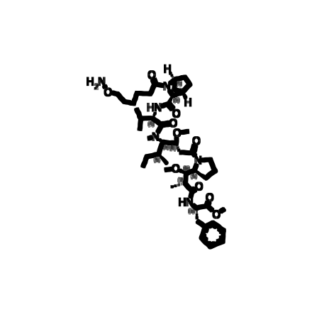 CC[C@H](C)[C@@H]([C@@H](CC(=O)N1CCC[C@H]1[C@H](OC)[C@@H](C)C(=O)N[C@@H](Cc1ccccc1)C(=O)OC)OC)N(C)C(=O)[C@@H](NC(=O)[C@@H]1[C@H]2CC[C@@H](C2)N1C(=O)CCCCCON)C(C)C